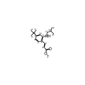 COC(=O)C=Cc1ccc(C(C)(C)C)cc1NCC(C)C